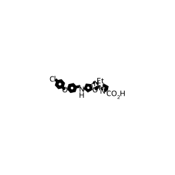 CCN(C[C@@H]1CC[C@@H](NCc2ccc(Oc3ccc(Cl)cc3)cc2)C1)C(=O)n1ccc(C(=O)O)n1